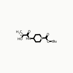 C[C@@H](O)C(=O)NC1CCN(C(=O)OC(C)(C)C)CC1